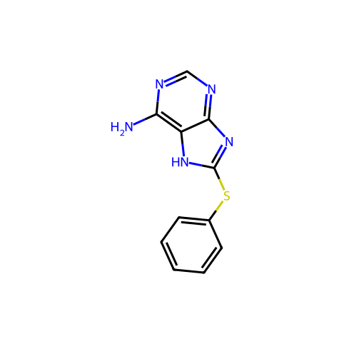 Nc1ncnc2nc(Sc3ccccc3)[nH]c12